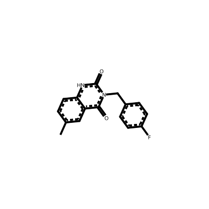 Cc1ccc2[nH]c(=O)n(Cc3ccc(F)cc3)c(=O)c2c1